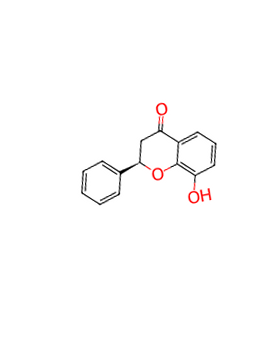 O=C1C[C@H](c2ccccc2)Oc2c(O)cccc21